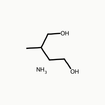 CC(CO)CCO.N